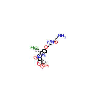 CCc1c2c(nc3ccc(OCCCNC(=O)CCCN)cc13)-c1cc3c(c(=O)n1C2)COC(=O)[C@]3(O)CC.Cl